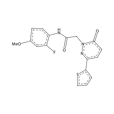 COc1ccc(NC(=O)Cn2nc(-c3cccs3)ccc2=O)c(F)c1